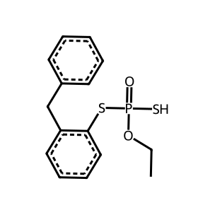 CCOP(=O)(S)Sc1ccccc1Cc1ccccc1